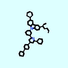 C=C/C(=C\C=C/C)c1ccc2c(c1)c1cc(C3C=CC=CC3)ccc1n2-c1cccc(-c2cc(-c3ccc(-c4ccccc4)cc3)cc(-c3ccccc3)n2)c1